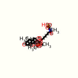 CCOP(=O)(CO[C@]1(C(=O)COC(=O)CCCCCCC(=O)N(C)CCS(=O)(=O)O)CC[C@H]2[C@@H]3C[C@H](C)C4=CC(=O)C=C[C@]4(C)[C@H]3[C@@H](O)C[C@@]21C)OCC